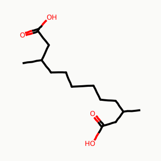 CC(CCCCCCC(C)CC(=O)O)CC(=O)O